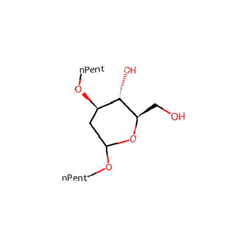 CCCCCOC1C[C@@H](OCCCCC)[C@H](O)[C@@H](CO)O1